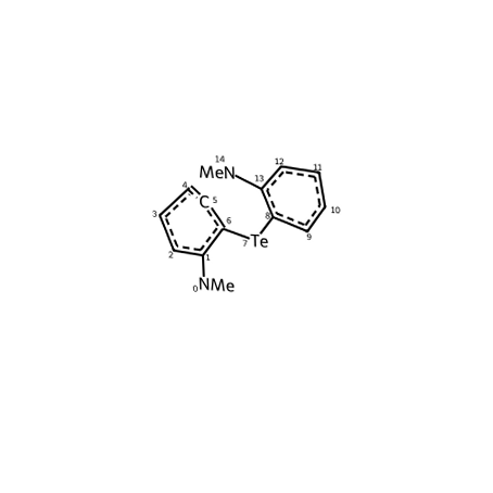 CNc1ccccc1[Te]c1ccccc1NC